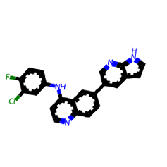 Fc1ccc(Nc2ccnc3ccc(-c4cnc5[nH]ccc5c4)cc23)cc1Cl